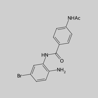 CC(=O)Nc1ccc(C(=O)Nc2cc(Br)ccc2N)cc1